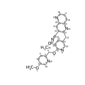 COc1ccc(COc2ncc(Cc3nc4cccnc4cc3C#N)cc2OC)nc1